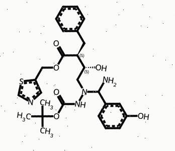 CC(C)(C)OC(=O)NN(C[C@@H](O)[C@H](Cc1ccccc1)C(=O)OCc1cncs1)C(N)c1cccc(O)c1